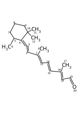 C\C(C=C=C1C(C)CCCC1(C)C)=C/C=C/C(C)=C/C=O